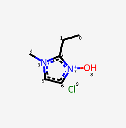 CCc1n(C)cc[n+]1O.[Cl-]